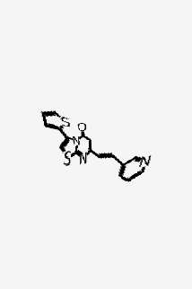 O=c1cc(/C=C/c2cccnc2)nc2scc(-c3cccs3)n12